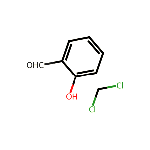 ClCCl.O=Cc1ccccc1O